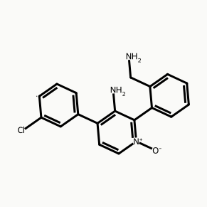 NCc1ccccc1-c1c(N)c(-c2cc[c]c(Cl)c2)cc[n+]1[O-]